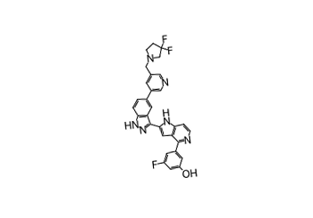 Oc1cc(F)cc(-c2nccc3[nH]c(-c4n[nH]c5ccc(-c6cncc(CN7CCC(F)(F)C7)c6)cc45)cc23)c1